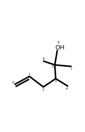 C=CCC(C)C(C)(C)O